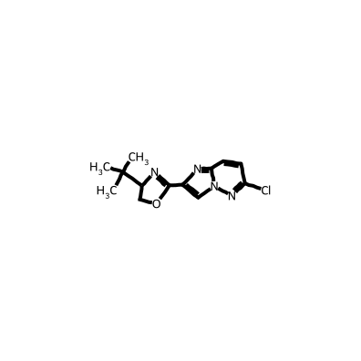 CC(C)(C)C1COC(c2cn3nc(Cl)ccc3n2)=N1